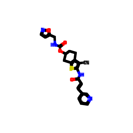 N#Cc1c(NC(=O)C=Cc2cccnc2)sc2c1CCC(OC(=O)NCc1ccno1)C2